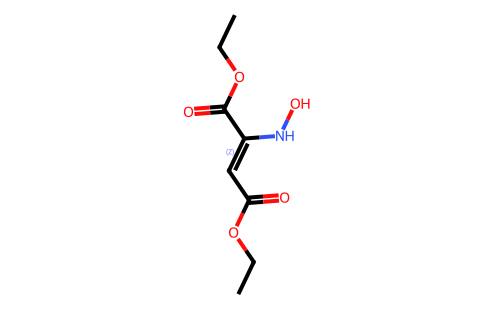 CCOC(=O)/C=C(\NO)C(=O)OCC